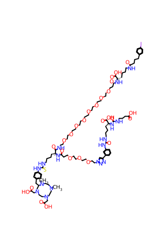 CN1CCN(CC(=O)O)CCN(CC(=O)O)CC(Cc2ccc(NC(=S)NCCCC[C@H](NC(=O)CCOCCOCCOCCn3cc(-c4cccc(NC(=O)NCCCC[C@H](NC(=O)NCCCC(=O)O)C(=O)O)c4)nn3)C(=O)NCCOCCOCCOCCOCCOCCOCCOCCOCCC(=O)N[C@@H](CCCCNC(=O)CCCc3ccc(I)cc3)C(=O)O)cc2)N(C)CC1